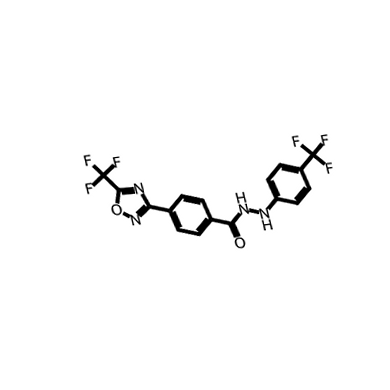 O=C(NNc1ccc(C(F)(F)F)cc1)c1ccc(-c2noc(C(F)(F)F)n2)cc1